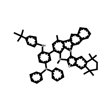 CB1c2oc3cc4c(cc3c2-n2c3cc5ccccc5cc3c3c(C)cc(-c5cc(N(c6ccccc6)c6ccccc6)ccc5Nc5ccc(C(C)(C)C)cc5)c1c32)C(C)(C)CCC4(C)C